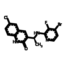 C[C@H](Nc1nccc(Br)c1F)c1cc2cc(Cl)ccc2[nH]c1=O